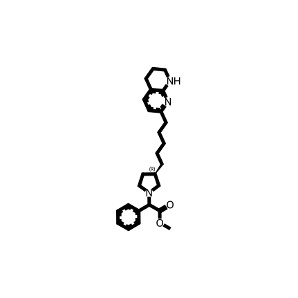 COC(=O)C(c1ccccc1)N1CC[C@@H](CCCCCc2ccc3c(n2)NCCC3)C1